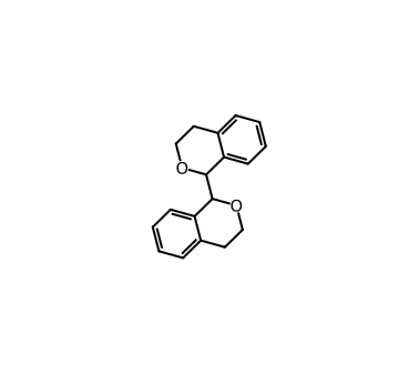 c1ccc2c(c1)CCOC2C1OCCc2ccccc21